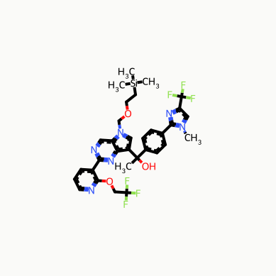 Cn1cc(C(F)(F)F)nc1-c1ccc(C(C)(O)c2cn(COCC[Si](C)(C)C)c3cnc(-c4cccnc4OCC(F)(F)F)nc23)cc1